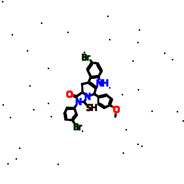 COc1ccc(C2c3[nH]c4ccc(Br)cc4c3CC3C(=O)N(c4cccc(Br)c4)C(S)N32)cc1